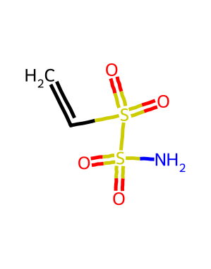 C=CS(=O)(=O)S(N)(=O)=O